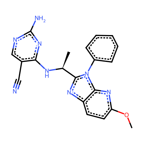 COc1ccc2nc([C@H](C)Nc3nc(N)ncc3C#N)n(-c3ccccc3)c2n1